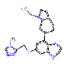 CCn1ccc2ccc(-c3cc(NCc4nncn4C)cc4nccnc34)cc21